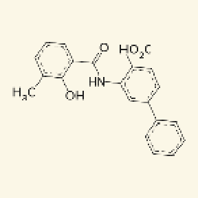 Cc1cccc(C(=O)Nc2cc(-c3ccccc3)ccc2C(=O)O)c1O